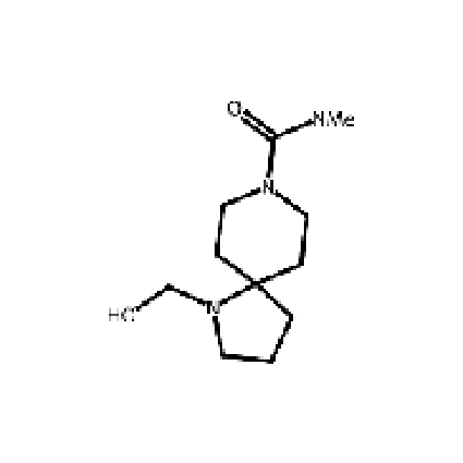 CNC(=O)N1CCC2(CCCN2CO)CC1